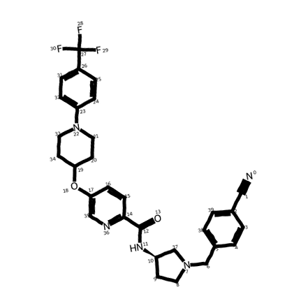 N#Cc1ccc(CN2CC[C@@H](NC(=O)c3ccc(OC4CCN(c5ccc(C(F)(F)F)cc5)CC4)cn3)C2)cc1